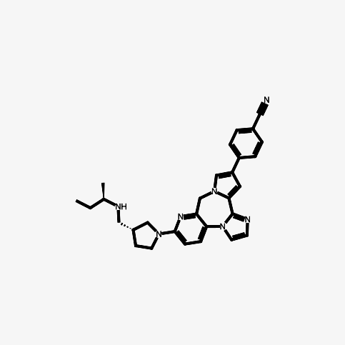 CC[C@@H](C)NC[C@H]1CCN(c2ccc3c(n2)Cn2cc(-c4ccc(C#N)cc4)cc2-c2nccn2-3)C1